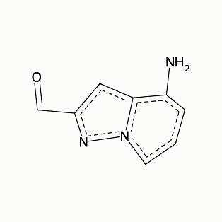 Nc1cccn2nc(C=O)cc12